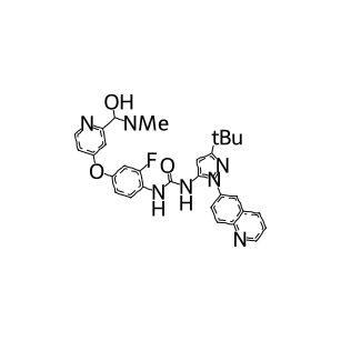 CNC(O)c1cc(Oc2ccc(NC(=O)Nc3cc(C(C)(C)C)nn3-c3ccc4ncccc4c3)c(F)c2)ccn1